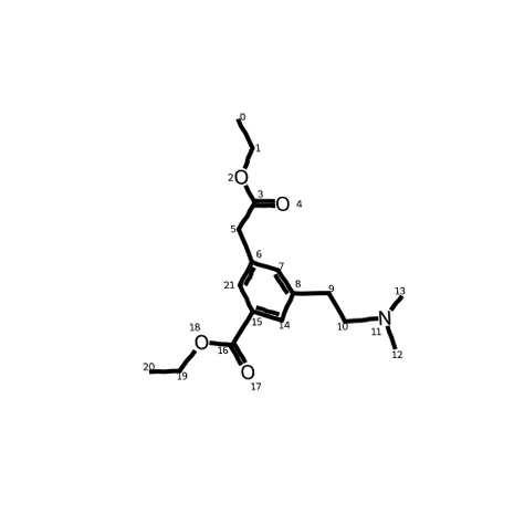 CCOC(=O)Cc1cc(CCN(C)C)cc(C(=O)OCC)c1